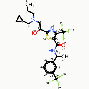 CCCN(CC1CC1)CC(O)c1nc(C(F)(F)F)c(C(=O)NC(C)c2cccc(C(F)(F)F)c2)s1